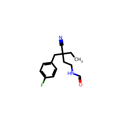 CCC(C#N)(CCNC=O)Cc1ccc(F)cc1